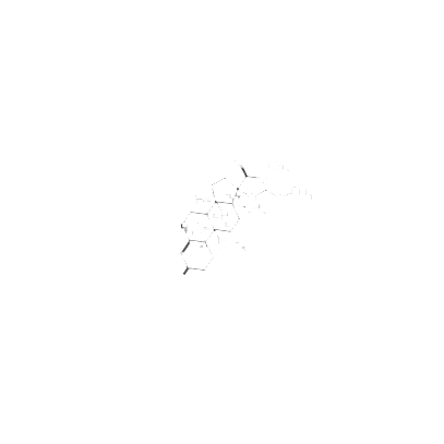 COCO[C@]1(C(=O)OC)CC[C@H]2[C@@H]3CCC4=CC(=O)CC[C@]4(C)[C@H]3[C@@H](O)C[C@@]21C